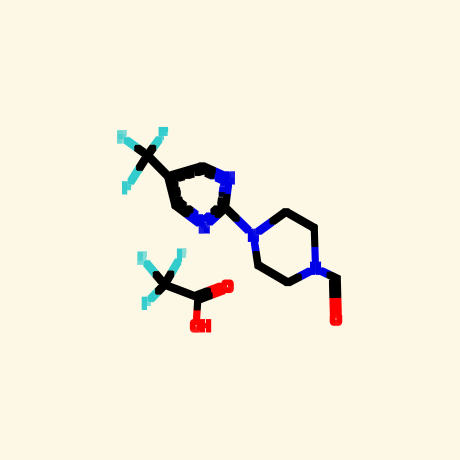 O=C(O)C(F)(F)F.O=CN1CCN(c2ncc(C(F)(F)F)cn2)CC1